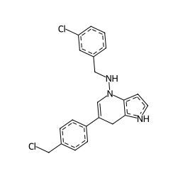 ClCc1ccc(C2=CN(NCc3cccc(Cl)c3)c3cc[nH]c3C2)cc1